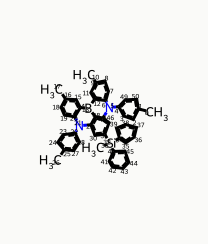 Cc1ccc(N2c3ccc(C)cc3B3c4cc(C)ccc4N(c4ccc(C)cc4)c4cc([Si](C)(c5ccccc5)c5ccccc5)cc2c43)cc1